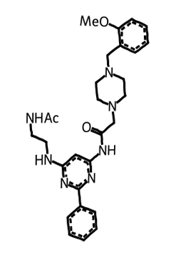 COc1ccccc1CN1CCN(CC(=O)Nc2cc(NCCNC(C)=O)nc(-c3ccccc3)n2)CC1